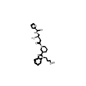 COCCCn1c(C2CCCN(C(=O)CC(N)CNC(=O)c3ccco3)C2)nc2ccccc21